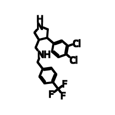 FC(F)(F)c1ccc(CNCC2CNCC2c2ccc(Cl)c(Cl)c2)cc1